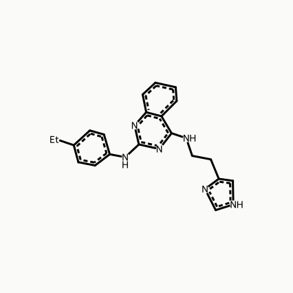 CCc1ccc(Nc2nc(NCCc3c[nH]cn3)c3ccccc3n2)cc1